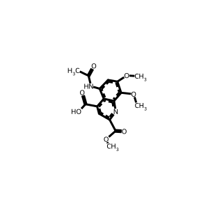 COC(=O)c1cc(C(=O)O)c2c(NC(C)=O)cc(OC)c(OC)c2n1